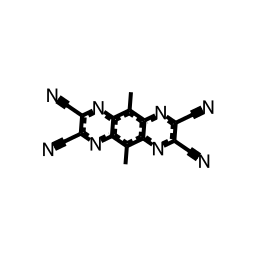 Cc1c2nc(C#N)c(C#N)nc2c(C)c2nc(C#N)c(C#N)nc12